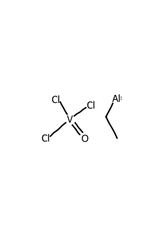 C[CH2][Al].[O]=[V]([Cl])([Cl])[Cl]